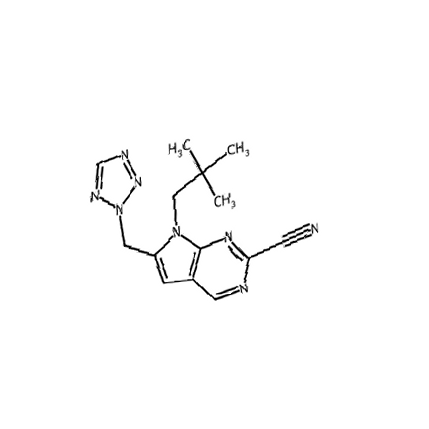 CC(C)(C)Cn1c(Cn2ncnn2)cc2cnc(C#N)nc21